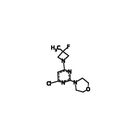 CC1(F)CN(c2cc(Cl)nc(N3CCOCC3)n2)C1